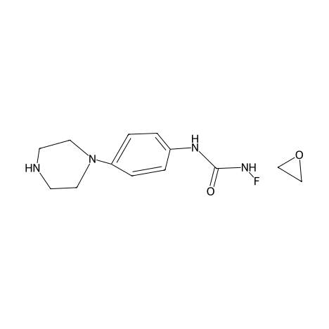 C1CO1.O=C(NF)Nc1ccc(N2CCNCC2)cc1